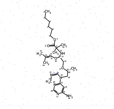 CCCCCCOC(=O)C(C)(C)NP(CO[C@H](C)CN(/C=N\C)c1cc(N)ncn1)ON=C(C)C